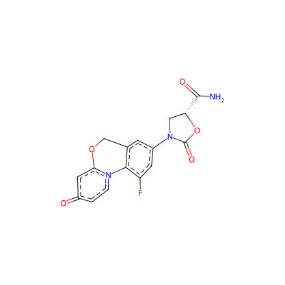 NC(=O)[C@H]1CN(c2cc(F)c3c(c2)COc2cc(=O)ccn2-3)C(=O)O1